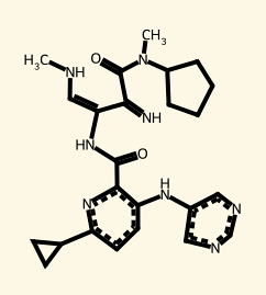 CN/C=C(/NC(=O)c1nc(C2CC2)ccc1Nc1cncnc1)C(=N)C(=O)N(C)C1CCCC1